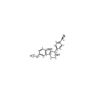 COc1ccc2[nH]c3c(c2c1)CCNC3c1ccc(C#N)cc1